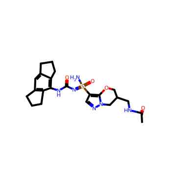 CC(=O)NCC1COc2c(S(N)(=O)=NC(=O)Nc3c4c(cc5c3CCC5)CCC4)cnn2C1